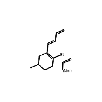 C=CC=CC1=C(CC)CCC(C)C1.C=CCCCCCCCCC